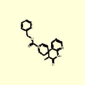 CC1C(=O)Nc2ncccc2C12C=CN(C(=O)OCc1ccccc1)CC2